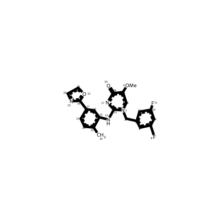 COc1cn(Cc2cc(F)cc(F)c2)c(Nc2cc(-c3ncco3)ccc2C)nc1=O